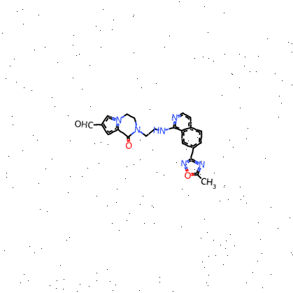 Cc1nc(-c2ccc3ccnc(NCCN4CCn5cc(C=O)cc5C4=O)c3c2)no1